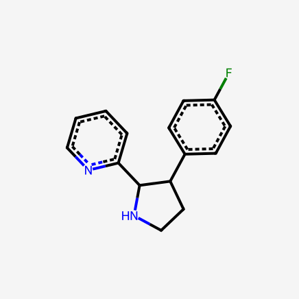 Fc1ccc(C2CCNC2c2ccccn2)cc1